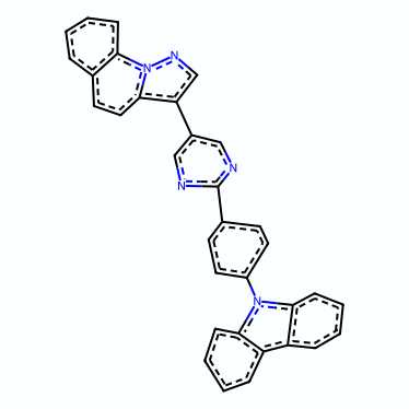 c1ccc2c(c1)ccc1c(-c3cnc(-c4ccc(-n5c6ccccc6c6ccccc65)cc4)nc3)cnn12